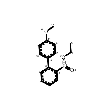 CCO[PH](=O)c1ccccc1-c1ccc(OC)cc1